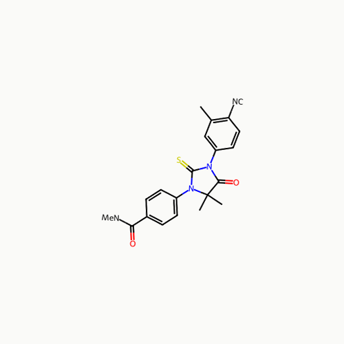 [C-]#[N+]c1ccc(N2C(=O)C(C)(C)N(c3ccc(C(=O)NC)cc3)C2=S)cc1C